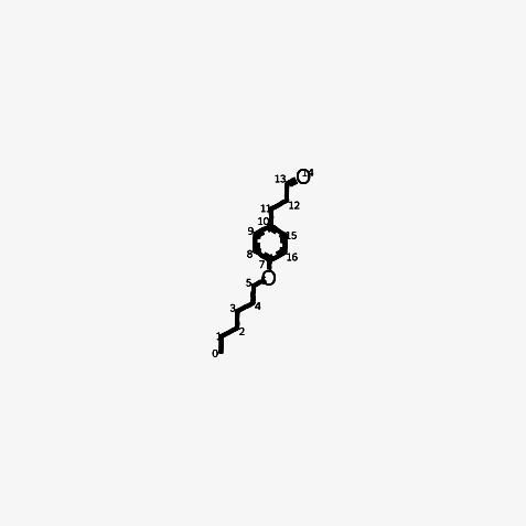 CCCCCCOc1ccc(CCC=O)cc1